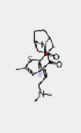 Cc1ccc(C(=O)N2C3CCC2CN(C(=O)/C=C/CN(C)C)C3)s1